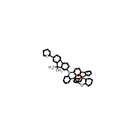 CC1(C)c2cc(-c3ccccc3)ccc2-c2ccc(N(c3ccc4c(c3)C3(c5ccccc5Oc5ccccc53)c3ccccc3-4)c3ccccc3-c3ccccc3)cc21